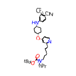 CCCN(CCCCCc1cc(O[C@H]2CC[C@H](Nc3ccc(C#N)c(C(F)(F)F)c3)CC2)ccn1)C(=O)OC(C)(C)C